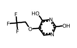 Oc1ncc(OCC(F)(F)F)c(O)n1